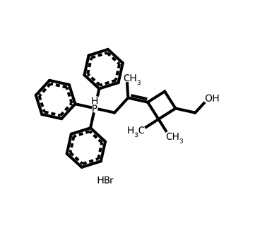 Br.CC(C[PH](c1ccccc1)(c1ccccc1)c1ccccc1)=C1CC(CO)C1(C)C